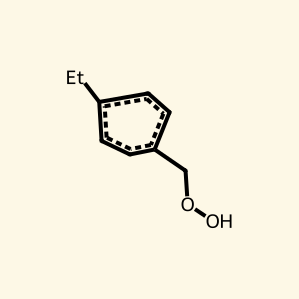 CCc1ccc(COO)cc1